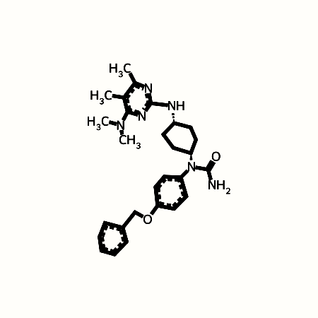 Cc1nc(N[C@H]2CC[C@@H](N(C(N)=O)c3ccc(OCc4ccccc4)cc3)CC2)nc(N(C)C)c1C